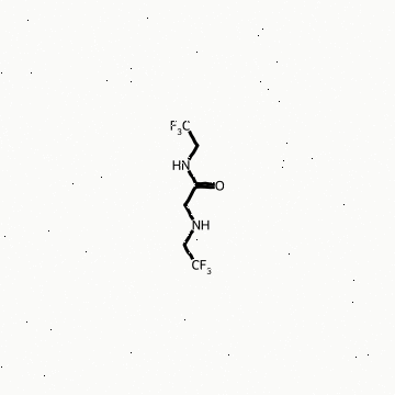 O=C(CNCC(F)(F)F)NCC(F)(F)F